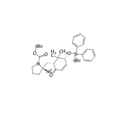 [C-]#[N+][C@@]1(C[C@H]2C(=O)C=C[C@@H](O[Si](c3ccccc3)(c3ccccc3)C(C)(C)C)C2(C)C)CCCN1C(=O)OC(C)(C)C